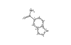 NC(=O)c1ccc2[se]ccc2c1